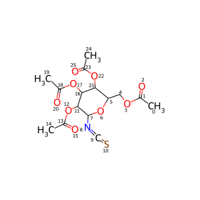 CC(=O)OCC1OC(N=C=S)C(OC(C)=O)C(OC(C)=O)C1OC(C)=O